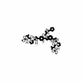 COC(=O)NC(C(=O)N1CCC[C@H]1c1ncc(-c2cc(F)c3c(c2)OC(c2cnc(C4CCCC4)s2)n2c-3cc3cc(-c4cnc([C@@H]5CCCN5C(=O)C(NC(=O)OC)C(C)C)[nH]4)ccc32)[nH]1)C(C)C